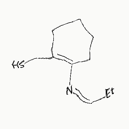 CC/C=N\C1=C(S)CCCC1